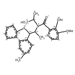 COc1ccnc(C(=O)N(C(C)C(=O)O)C(C)C(Sc2ccccc2)c2ccc(C)cc2)c1OC(C)=O